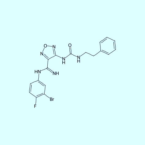 N=C(Nc1ccc(F)c(Br)c1)c1nonc1NC(=O)NCCc1ccccc1